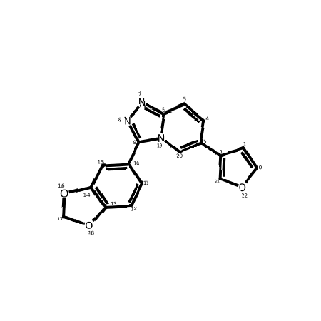 c1cc(-c2ccc3nnc(-c4ccc5c(c4)OCO5)n3c2)co1